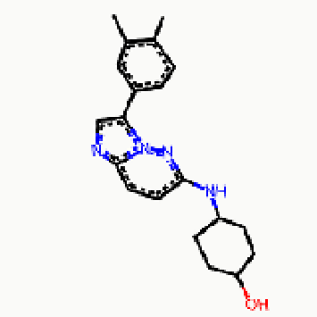 Cc1ccc(-c2cnc3ccc(NC4CCC(O)CC4)nn23)cc1C